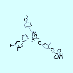 CCOc1ccc(-c2nc(COc3ccc(OCC(=O)O)c(C)c3)sc2-c2cccc(SC(F)(F)F)c2)cc1